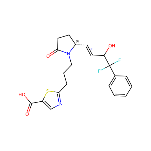 O=C(O)c1cnc(CCCN2C(=O)CC[C@@H]2/C=C/C(O)C(F)(F)c2ccccc2)s1